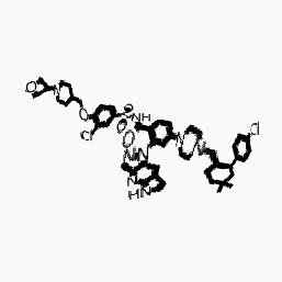 CC1(C)CCC(CN2CCN(c3ccc(C(=O)NS(=O)(=O)c4ccc(OCC5CCN(C6COC6)CC5)c(Cl)c4)c(-n4ncc5nc6[nH]ccc6cc54)c3)CC2)=C(c2ccc(Cl)cc2)C1